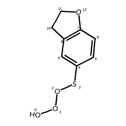 OOOSc1ccc2c(c1)CCO2